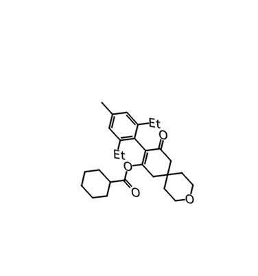 CCc1cc(C)cc(CC)c1C1=C(OC(=O)C2CCCCC2)CC2(CCOCC2)CC1=O